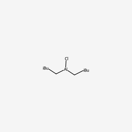 CCC(C)[CH2][Al]([Cl])[CH2]C(C)CC